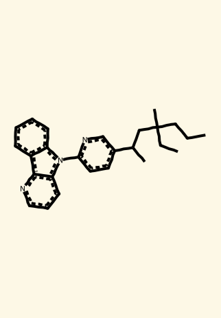 CCCC(C)(CC)CC(C)c1ccc(-n2c3ccccc3c3ncccc32)nc1